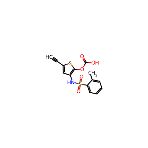 C#Cc1cc(NS(=O)(=O)c2ccccc2C)c(OC(=O)O)s1